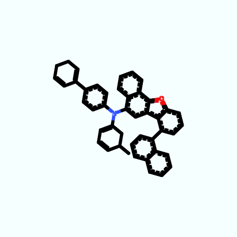 CC1C=CC=C(N(c2ccc(C3=CCCC=C3)cc2)c2cc3c(oc4cccc(-c5cccc6ccccc56)c43)c3ccccc23)C1